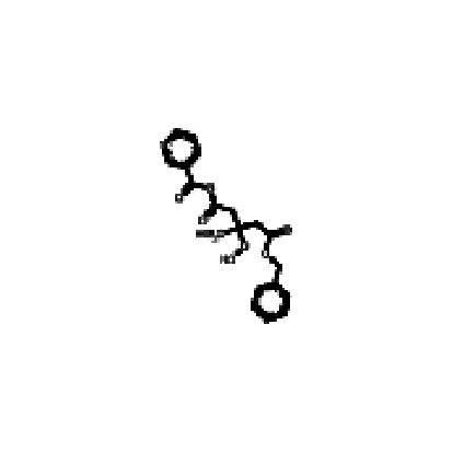 O=C(CC(CC(=O)OC(=O)c1cccnc1)(OO)C(=O)O)OCc1ccccc1